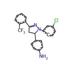 Nc1ccc(C2CC(c3ccccc3C(F)(F)F)=NN2c2cccc(Cl)c2)cc1